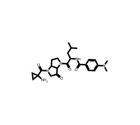 CC(C)CC(NC(=O)c1ccc(N(C)C)cc1)C(=O)N1CCC2C1C(=O)CN2C(=O)C1(N)CC1